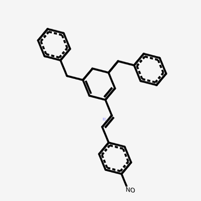 O=Nc1ccc(/C=C/C2=CC(Cc3ccccc3)CC(Cc3ccccc3)=C2)cc1